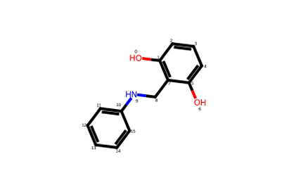 Oc1cccc(O)c1CNc1ccccc1